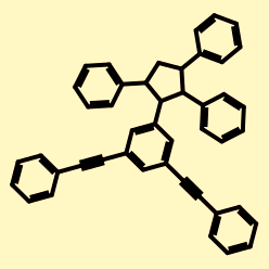 C(#Cc1cc(C#Cc2ccccc2)cc(C2C(c3ccccc3)CC(c3ccccc3)C2c2ccccc2)c1)c1ccccc1